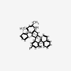 CC1=CC(C)=[N+](c2ccccc2)C2=C(CC3C(C2)c2cc(F)cc(F)c2-c2c4ccccc4cc[n+]23)N1